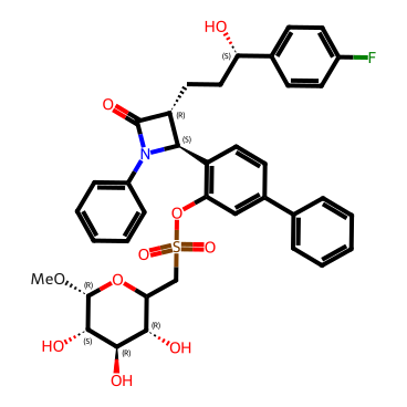 CO[C@@H]1OC(CS(=O)(=O)Oc2cc(-c3ccccc3)ccc2[C@@H]2[C@@H](CC[C@H](O)c3ccc(F)cc3)C(=O)N2c2ccccc2)[C@H](O)[C@@H](O)[C@@H]1O